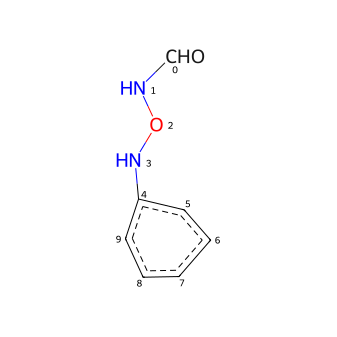 O=CNONc1ccccc1